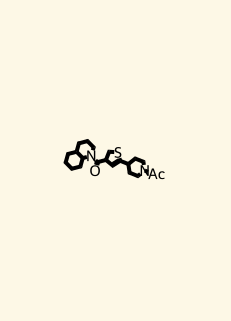 CC(=O)N1CCC(C2=CC(C(=O)N3CCCC4CCCCC43)CS2)CC1